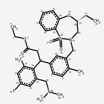 CCOC(=O)CC(c1ccc(C)c(CN2C[C@@H](CC)Oc3ccccc3S2(=O)=O)c1)c1c(C)cc(F)cc1CN(C)C